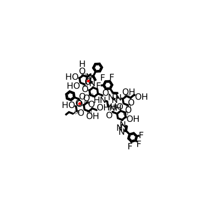 CCC[C@H](OC1C(OC(=O)c2ccccc2)[C@H](O[C@@H]2CC(C(=O)NCCNC(=O)C3CC(n4cc(-c5cc(F)c(F)c(F)c5)nn4)C(O)[C@H](O[C@@H]4OC(CO)[C@H](O)C(n5cc(-c6cc(F)c(F)c(F)c6)nn5)C4O)C3)CC(n3cc(-c4ccccc4)nn3)C2O[C@@H]2OC(C)[C@@H](O)C(O)C2O)OC(CO)[C@@H]1O)C(=O)O